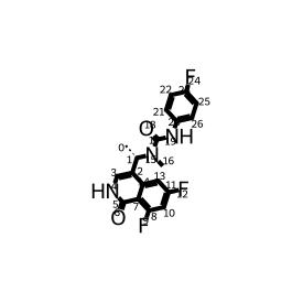 C[C@@H](c1c[nH]c(=O)c2c(F)cc(F)cc12)N(C)C(=O)Nc1ccc(F)cc1